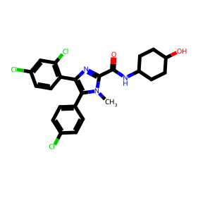 Cn1c(C(=O)NC2CCC(O)CC2)nc(-c2ccc(Cl)cc2Cl)c1-c1ccc(Cl)cc1